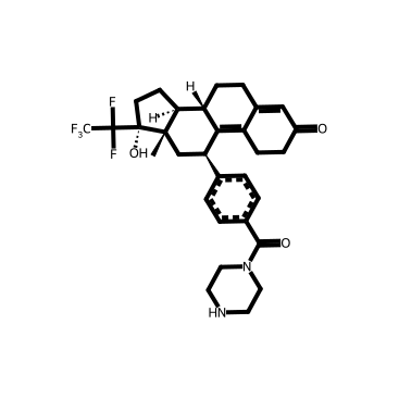 C[C@]12C[C@H](c3ccc(C(=O)N4CCNCC4)cc3)C3=C4CCC(=O)C=C4CC[C@H]3[C@@H]1CC[C@]2(O)C(F)(F)C(F)(F)F